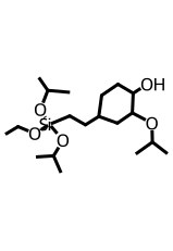 CCO[Si](CCC1CCC(O)C(OC(C)C)C1)(OC(C)C)OC(C)C